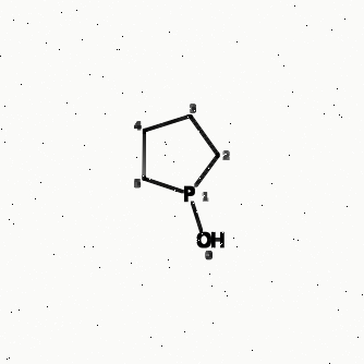 OP1CCCC1